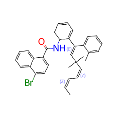 C/C=C\C=C/C(C)(C)/C=C(/C1=CC=CCC1NC(=O)c1ccc(Br)c2ccccc12)c1ccccc1C